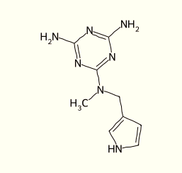 CN(Cc1cc[nH]c1)c1nc(N)nc(N)n1